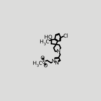 CC1(O)CC2(CCN(Cc3cnn(CCS(C)(=O)=O)c3)CC2)c2cc(Cl)ccc21